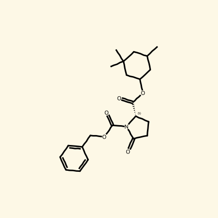 CC1CC(OC(=O)[C@@H]2CCC(=O)N2C(=O)OCc2ccccc2)CC(C)(C)C1